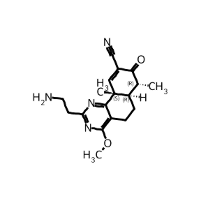 COc1nc(CCN)nc2c1CC[C@@H]1[C@@H](C)C(=O)C(C#N)=C[C@@]21C